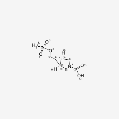 CS(=O)(=O)OCC1[C@H]2CN(C(=O)O)C[C@@H]12